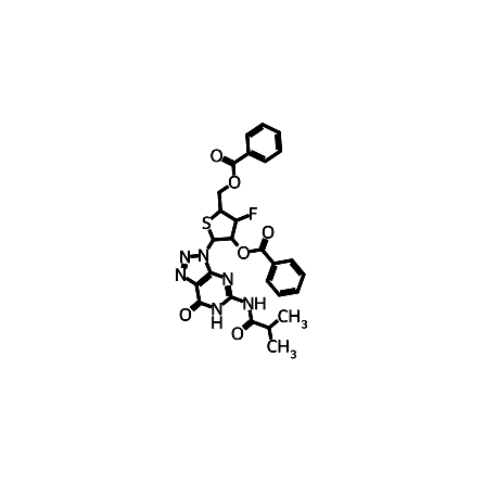 CC(C)C(=O)Nc1nc2c(nnn2C2SC(COC(=O)c3ccccc3)C(F)C2OC(=O)c2ccccc2)c(=O)[nH]1